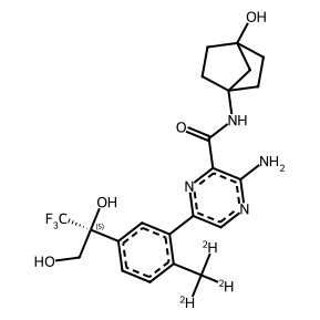 [2H]C([2H])([2H])c1ccc([C@](O)(CO)C(F)(F)F)cc1-c1cnc(N)c(C(=O)NC23CCC(O)(CC2)C3)n1